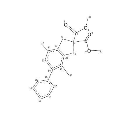 COC(=O)C1(C(=O)OC)Cc2c(C)cc(-c3ccccc3)c(C)c2C1